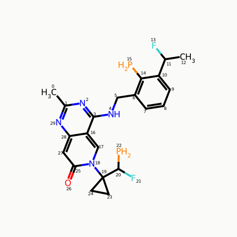 Cc1nc(NCc2cccc(C(C)F)c2P)c2cn(C3(C(F)P)CC3)c(=O)cc2n1